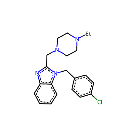 CCN1CCN(Cc2nc3ccccc3n2Cc2ccc(Cl)cc2)CC1